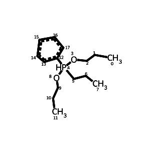 CCCO[PH](CCC)(OCCC)c1ccccc1